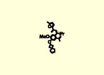 C=C(/C=C(\c1cc(OC)c(OC2CC3(CC=CC3)C2)cc1C(=C)C)C(C)C)c1ccc(C)o1